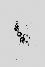 Cc1cc(C(F)(F)F)ncc1[C@H]1CC[C@@H](N2CCC3(C2)C[S+]([O-])C3)CC1